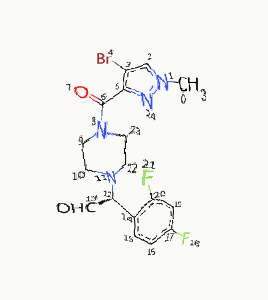 Cn1cc(Br)c(C(=O)N2CCN([C@H](C=O)c3ccc(F)cc3F)CC2)n1